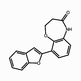 O=C1CCOc2c(cccc2-c2cc3ccccc3o2)N1